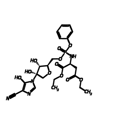 CCOC(=O)C[C@H](NP(=O)(OC[C@H]1OC[C@@](O)(n2cnc(C#N)c2O)[C@@H]1O)Oc1ccccc1)C(=O)OCC